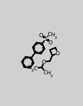 CC(C)OCC1CCO1.CS(=O)(=O)c1ccc(-c2ccccc2)cc1